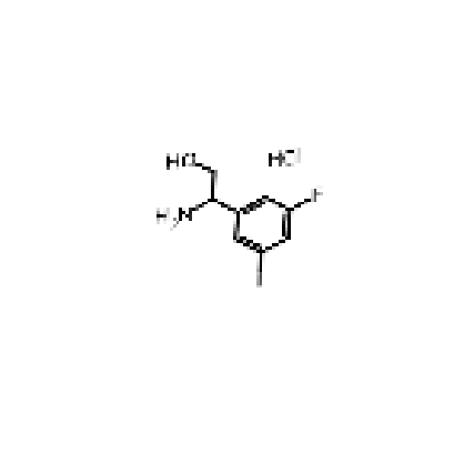 Cl.NC(CO)c1cc(F)cc(I)c1